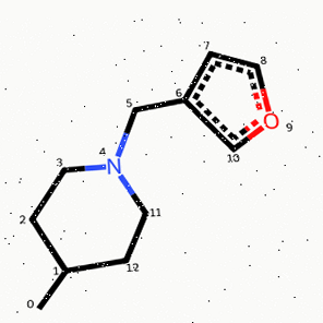 CC1CCN(Cc2ccoc2)CC1